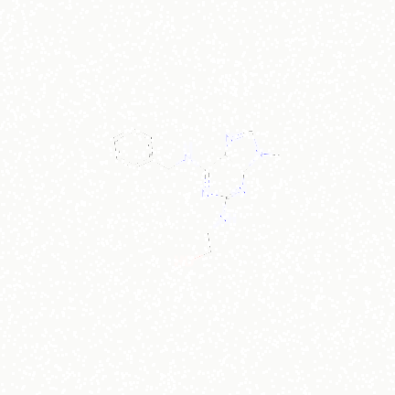 CN1C=NC2C(NCc3ccccc3)=NC(NCCO)=NC21